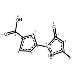 Cc1cc(=O)n(-c2ccc(C(=O)O)s2)[nH]1